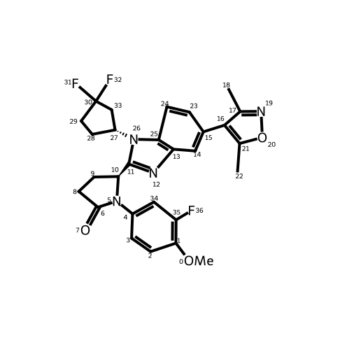 COc1ccc(N2C(=O)CC[C@H]2c2nc3cc(-c4c(C)noc4C)ccc3n2[C@@H]2CCC(F)(F)C2)cc1F